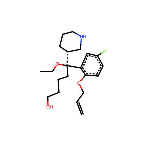 C=CCOc1ccc(F)cc1C(CCCCO)(OCC)[C@@H]1CCCNC1